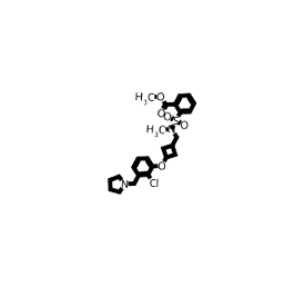 COC(=O)c1ccccc1S(=O)(=O)N(C)CC1CC(Oc2cccc(CN3CCCC3)c2Cl)C1